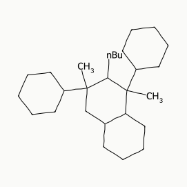 CCCCC1C(C)(C2CCCCC2)CC2CCCCC2C1(C)C1CCCCC1